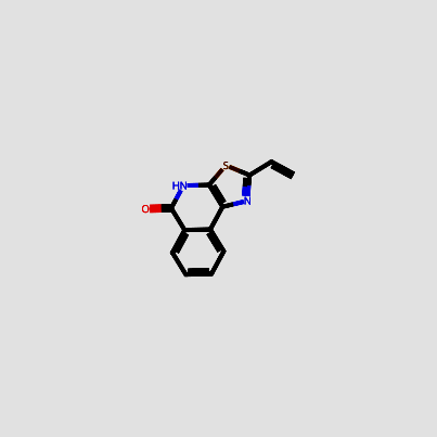 C=Cc1nc2c([nH]c(=O)c3ccccc32)s1